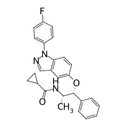 C[C@H](NC(=O)C1CC1)[C@H](Oc1ccc2c(cnn2-c2ccc(F)cc2)c1)c1ccccc1